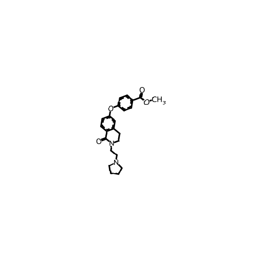 COC(=O)c1ccc(Oc2ccc3c(c2)CCN(CCN2CCCC2)C3=O)cc1